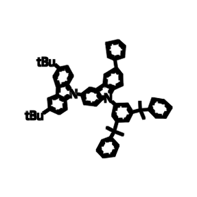 CC(C)(C)c1ccc2c(c1)c1cc(C(C)(C)C)ccc1n2-c1ccc2c(c1)c1cc(-c3ccccc3)ccc1n2-c1cc(C(C)(C)c2ccccc2)cc(C(C)(C)c2ccccc2)c1